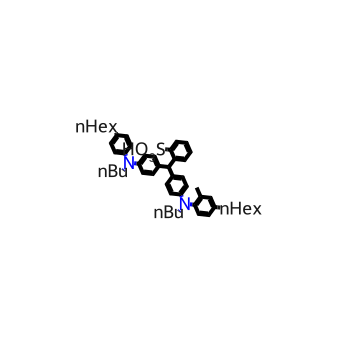 CCCCCCc1ccc(N(CCCC)c2ccc(C(c3ccc(N(CCCC)c4ccc(CCCCCC)cc4C)cc3)c3ccccc3S(=O)(=O)O)cc2)cc1